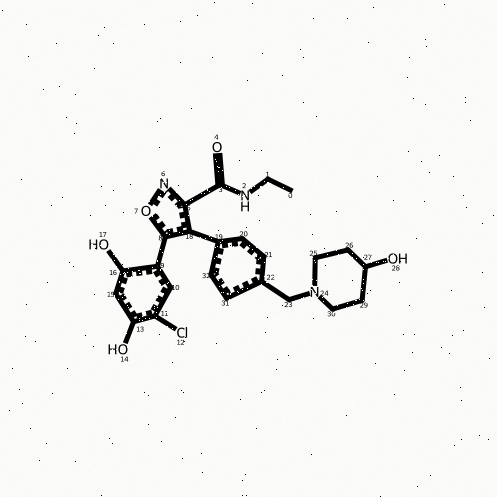 CCNC(=O)c1noc(-c2cc(Cl)c(O)cc2O)c1-c1ccc(CN2CCC(O)CC2)cc1